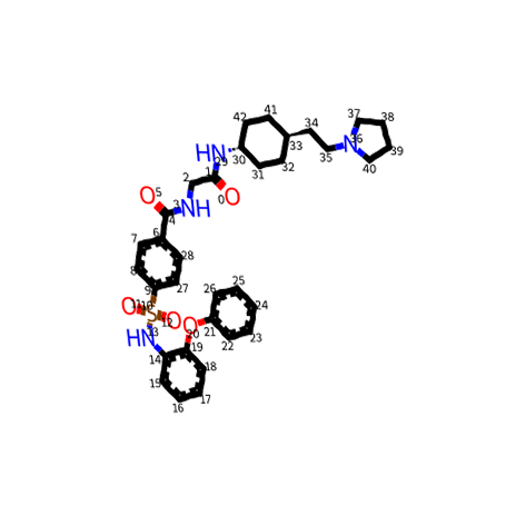 O=C(CNC(=O)c1ccc(S(=O)(=O)Nc2ccccc2Oc2ccccc2)cc1)N[C@H]1CC[C@H](CCN2CCCC2)CC1